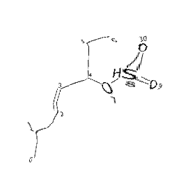 CCC=CC(CC)O[SH](=O)=O